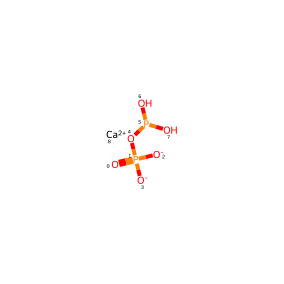 O=P([O-])([O-])OP(O)O.[Ca+2]